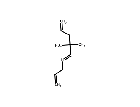 C=CC/N=C/C(C)(C)CC=C